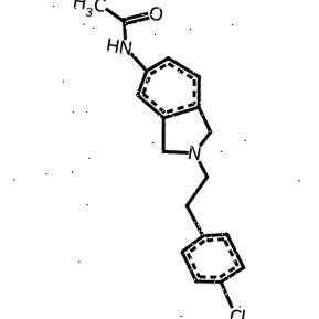 CC(=O)Nc1ccc2c(c1)CN(CCc1ccc(Cl)cc1)C2